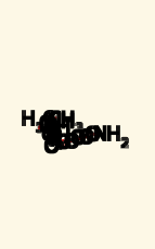 CN[C@@H](C)C(=O)NC(C(=O)N1CCC[C@H]1c1nc(C(=O)c2cccc(OCCOCCOCCOCCOCCN)c2)cs1)C1CCCCC1